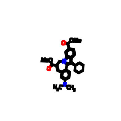 COC(=O)C1=Cc2cc(N(C)C)ccc2-c2c(C3CCCCC3)c3ccc(C(=O)OC)cc3n2C1